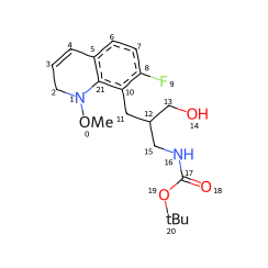 CON1CC=Cc2ccc(F)c(CC(CO)CNC(=O)OC(C)(C)C)c21